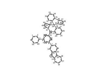 c1ccc(-c2nc(-c3ccc4c(c3)oc3ccccc34)nc(N3c4ccccc4C4(c5ccccc5-c5ccccc54)c4ccccc43)n2)cc1